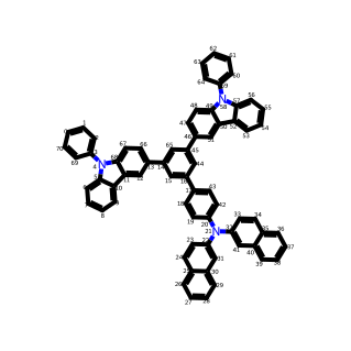 c1ccc(-n2c3ccccc3c3cc(-c4cc(-c5ccc(N(c6ccc7ccccc7c6)c6ccc7ccccc7c6)cc5)cc(-c5ccc6c(c5)c5ccccc5n6-c5ccccc5)c4)ccc32)cc1